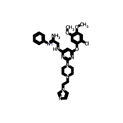 COc1cc(Cl)c(Oc2cc(NC/C(N)=N/c3ccccc3)nc(N3CCN(CCn4ccnc4)CC3)n2)cc1OC